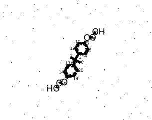 CC(C)(c1ccc(OOO)cc1)c1ccc(OOO)cc1